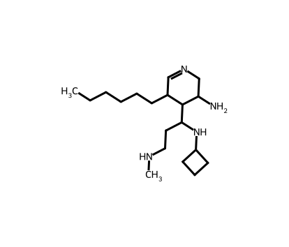 CCCCCCC1C=NCC(N)C1C(CCNC)NC1CCC1